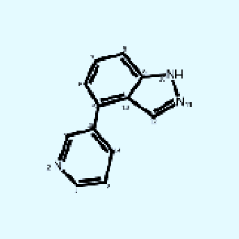 c1cncc(-c2cccc3[nH]ncc23)c1